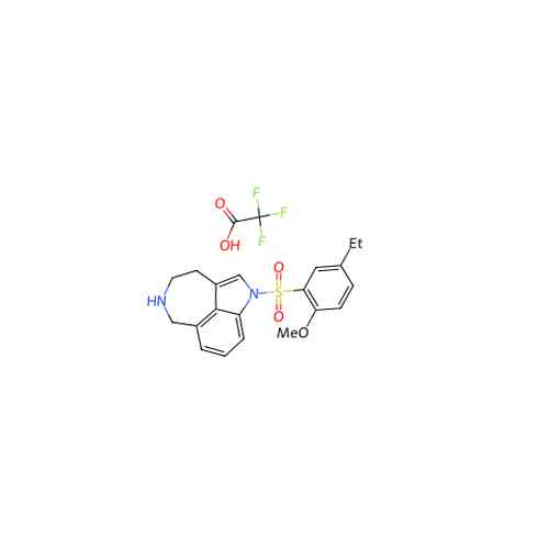 CCc1ccc(OC)c(S(=O)(=O)n2cc3c4c(cccc42)CNCC3)c1.O=C(O)C(F)(F)F